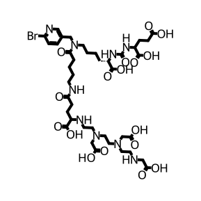 O=C(O)CCC(NC(=O)N[C@@H](CCCCN(Cc1ccc(Br)nc1)C(=O)CCCCNC(=O)CCC(NCCN(CCN(CCNCC(=O)O)CC(=O)O)CC(=O)O)C(=O)O)C(=O)O)C(=O)O